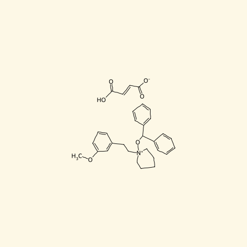 COc1cccc(CC[N+]2(OC(c3ccccc3)c3ccccc3)CCCCC2)c1.O=C([O-])C=CC(=O)O